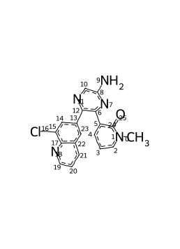 Cn1cccc(-c2nc(N)cnc2-c2cc(Cl)c3ncccc3c2)c1=O